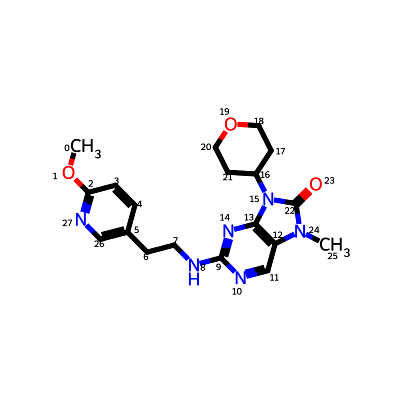 COc1ccc(CCNc2ncc3c(n2)n(C2CCOCC2)c(=O)n3C)cn1